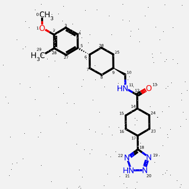 COc1ccc([C@H]2CC[C@H](CNC(=O)C3CCC(c4nn[nH]n4)CC3)CC2)cc1C